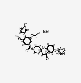 CCOc1cc(C(=O)N2CCC3(CC2)CC(=O)c2cc(-c4nnn[nH]4)ccc2O3)cc(OC)c1-c1cnn(C)c1.[NaH]